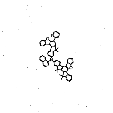 CC1(C)c2cc(N(c3ccc4c(c3)C(C)(C)c3c5c(c6oc7ccccc7c6c3-4)-c3ccccc3C5(C)C)c3cccc4ccccc34)ccc2-c2c1cc(-c1ccccn1)c1oc3ccccc3c21